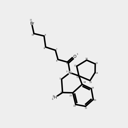 [2H]C1CN(C(=O)CCCCCBr)C2(CCCCC2)c2ccccc21